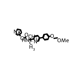 COCCOc1ccc(-c2ccc(C(C)(C)NC(=O)OC3CCN4CCC3CC4)nc2)cc1